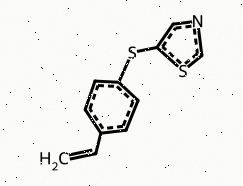 C=Cc1ccc(Sc2cncs2)cc1